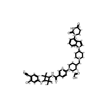 CC1(C)C(NC(=O)c2ccc(N3CCC(CN4CCC(n5ccc6c(N7CCC(=O)NC7=O)cccc65)CC4)CC3)nc2)C(C)(C)C1Oc1ccc(C#N)c(Cl)c1.O=CO